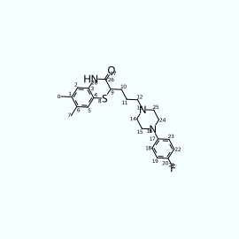 Cc1cc2c(cc1C)SC(CCCN1CCN(c3ccc(F)cc3)CC1)C(=O)N2